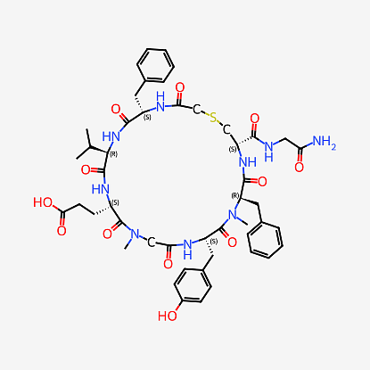 CC(C)[C@H]1NC(=O)[C@H](Cc2ccccc2)NC(=O)CSC[C@H](C(=O)NCC(N)=O)NC(=O)[C@@H](Cc2ccccc2)N(C)C(=O)[C@H](Cc2ccc(O)cc2)NC(=O)CN(C)C(=O)[C@H](CCC(=O)O)NC1=O